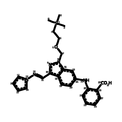 C[Si](C)(C)CCOCn1nc(C=Nn2cccc2)c2ccc(Nc3ccccc3C(=O)O)cc21